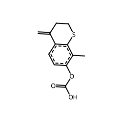 C=C1CCSc2c1ccc(OC(=O)O)c2C